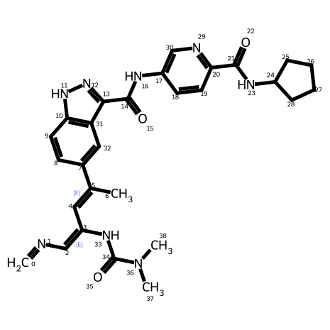 C=N/C=C(\C=C(/C)c1ccc2[nH]nc(C(=O)Nc3ccc(C(=O)NC4CCCC4)nc3)c2c1)NC(=O)N(C)C